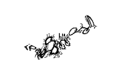 CC(C)C(=O)CCOCNC(=O)CC(=O)N1Cc2ccccc2-c2c(nnn2C(C)C)-c2ccccc21